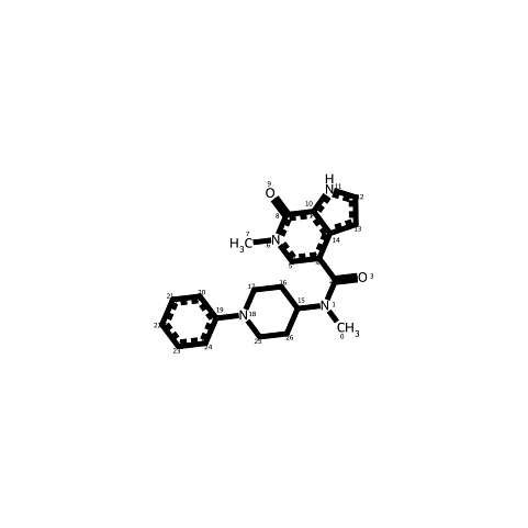 CN(C(=O)c1cn(C)c(=O)c2[nH]ccc12)C1CCN(c2ccccc2)CC1